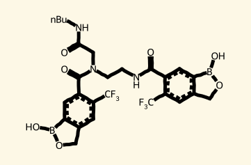 CCCCNC(=O)CN(CCNC(=O)c1cc2c(cc1C(F)(F)F)COB2O)C(=O)c1cc2c(cc1C(F)(F)F)COB2O